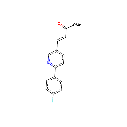 COC(=O)/C=C/c1ccc(-c2ccc(F)cc2)nc1